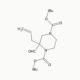 C=CCC1(C=O)CN(C(=O)OC(C)(C)C)CCN1C(=O)OC(C)(C)C